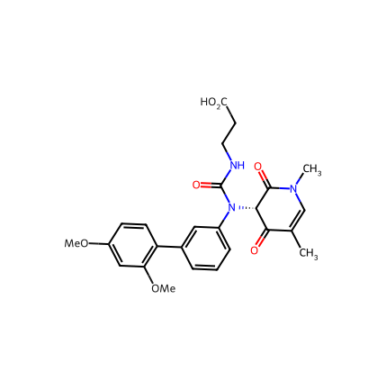 COc1ccc(-c2cccc(N(C(=O)NCCC(=O)O)[C@H]3C(=O)C(C)=CN(C)C3=O)c2)c(OC)c1